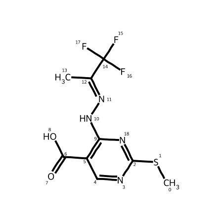 CSc1ncc(C(=O)O)c(N/N=C(\C)C(F)(F)F)n1